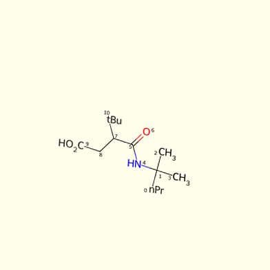 CCCC(C)(C)NC(=O)C(CC(=O)O)C(C)(C)C